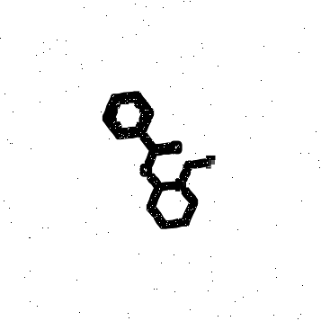 O=C(OC1CCCCN1CF)c1ccccc1